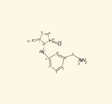 NCc1cccc(NN2C(=O)C=CC2=O)c1